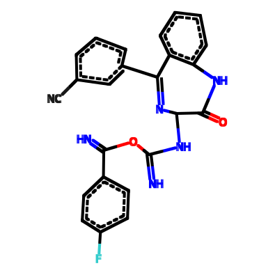 N#Cc1cccc(C2=NC(NC(=N)OC(=N)c3ccc(F)cc3)C(=O)Nc3ccccc32)c1